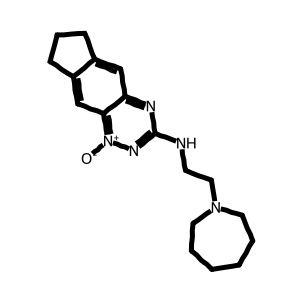 [O-][n+]1nc(NCCN2CCCCCC2)nc2cc3c(cc21)CCC3